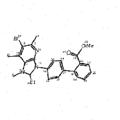 CCC1N(C)c2c(nc(C)c(Br)c2C)N1c1ccc(-c2ccccc2C(=O)OC)cc1